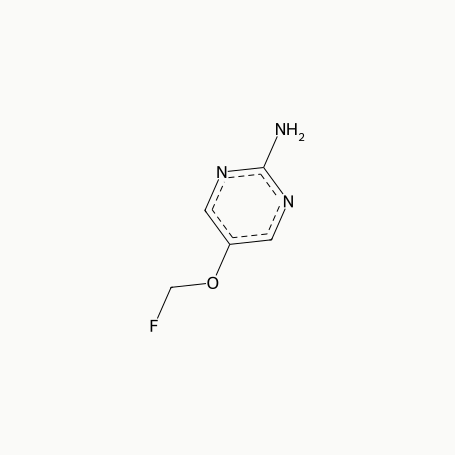 Nc1ncc(OCF)cn1